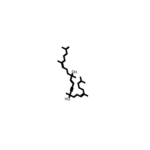 CC(=CCCC(C)(O)C#CC=CC(C)(O)CCC=C(C)CCCC(C)C)CCCC(C)C